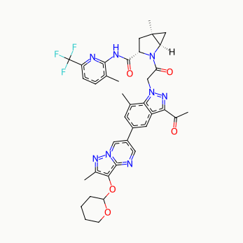 CC(=O)c1nn(CC(=O)N2[C@H](C(=O)Nc3nc(C(F)(F)F)ccc3C)C[C@@]3(C)C[C@@H]23)c2c(C)cc(-c3cnc4c(OC5CCCCO5)c(C)nn4c3)cc12